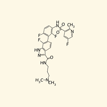 Cc1ncc(F)cc1S(=O)(=O)Nc1ccc(F)c(-c2ccc3c(C(=O)NCCCN(C)C)n[nH]c3c2F)c1F